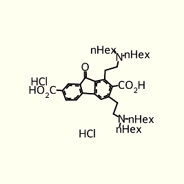 CCCCCCN(CCCCCC)CCc1cc2c(c(CCN(CCCCCC)CCCCCC)c1C(=O)O)C(=O)c1cc(C(=O)O)ccc1-2.Cl.Cl